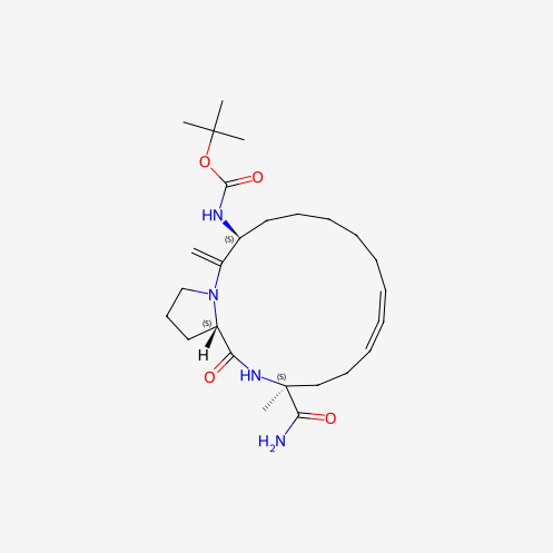 C=C1[C@@H](NC(=O)OC(C)(C)C)CCCCCC=C=CCC[C@@](C)(C(N)=O)NC(=O)[C@@H]2CCCN12